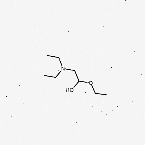 CCOC(O)CN(CC)CC